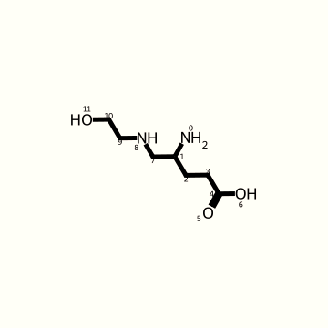 NC(CCC(=O)O)CNCCO